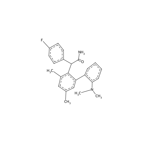 Cc1cc(C)c(C(C(N)=O)c2ccc(F)cc2)c(-c2ccccc2N(C)C)c1